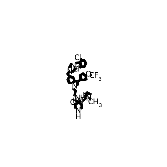 Cn1ccnc1CNC1(C(=O)NCCCn2cc(-c3ccc(OC(F)(F)F)cc3)c3cc(CN4CCN(Cc5c(Cl)cccc5Cl)CC4)ccc32)CCNCC1